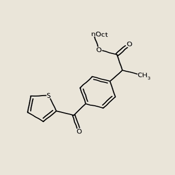 CCCCCCCCOC(=O)C(C)c1ccc(C(=O)c2cccs2)cc1